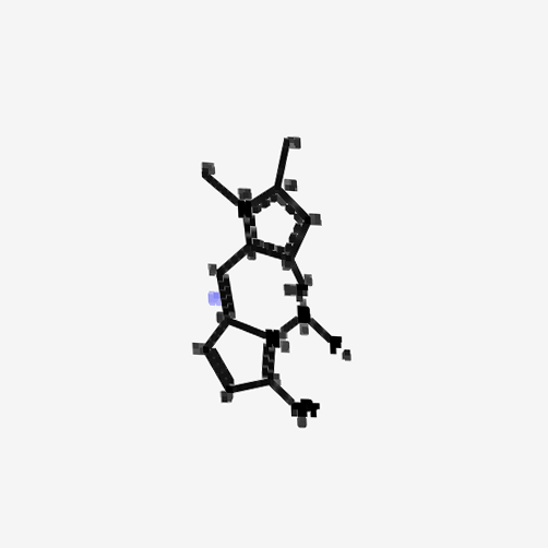 CCCC1=[N+](B(F)F)/C(=C\c2c(C)cc(C)n2C)C=C1